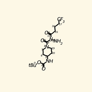 CC(C)(C)OC(=O)NC1CCN(C(=O)N(N)C(=O)CCCC(F)(F)F)CC1